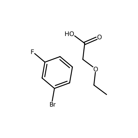 CCOCC(=O)O.Fc1cccc(Br)c1